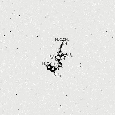 COc1nc(NCCNC(C)C)nc(OC)c1NC(=O)c1csc(Oc2cc3c(cc2C)CCC3(C)C)n1